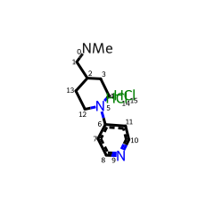 CNCC1CCN(c2ccncc2)CC1.Cl.Cl